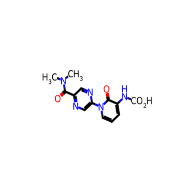 CN(C)C(=O)c1cnc(-n2cccc(NC(=O)O)c2=O)cn1